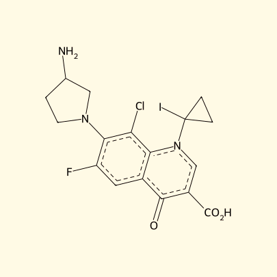 NC1CCN(c2c(F)cc3c(=O)c(C(=O)O)cn(C4(I)CC4)c3c2Cl)C1